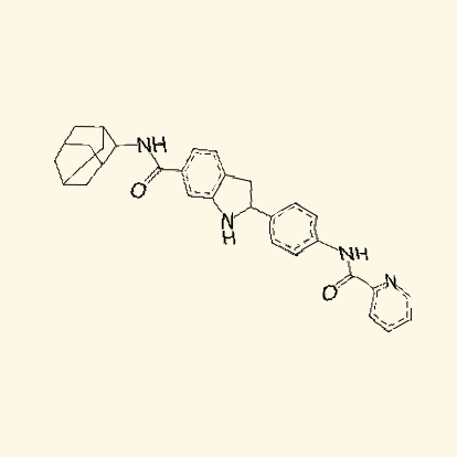 O=C(NC1C2CC3CC(C2)CC1C3)c1ccc2c(c1)NC(c1ccc(NC(=O)c3ccccn3)cc1)C2